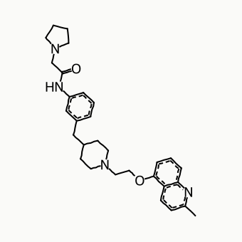 Cc1ccc2c(OCCN3CCC(Cc4cccc(NC(=O)CN5CCCC5)c4)CC3)cccc2n1